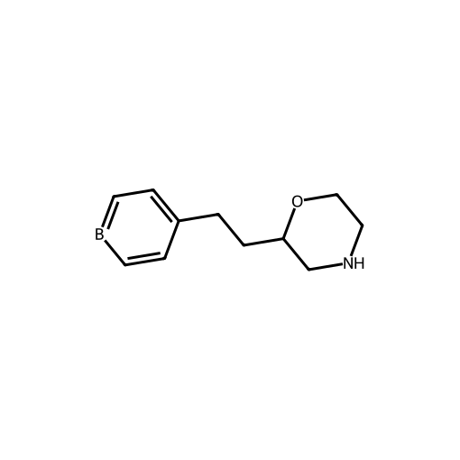 b1ccc(CCC2CNCCO2)cc1